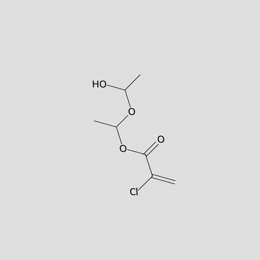 C=C(Cl)C(=O)OC(C)OC(C)O